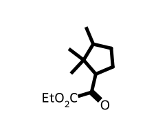 CCOC(=O)C(=O)C1CCC(C)C1(C)C